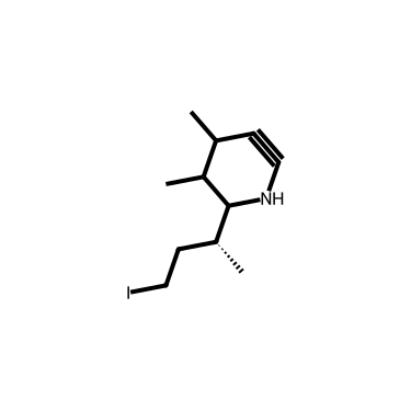 CC1C#CNC([C@H](C)CCI)C1C